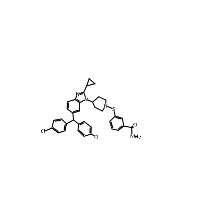 CNC(=O)c1cccc(SN2CCC(n3c(C4CC4)nc4ccc(C(c5ccc(Cl)cc5)c5ccc(Cl)cc5)cc43)CC2)c1